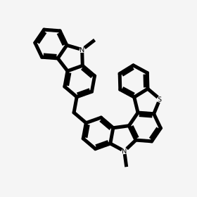 Cn1c2ccccc2c2cc(Cc3ccc4c(c3)c3c5c(ccc3n4C)sc3ccccc35)ccc21